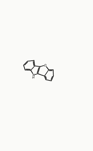 c1ccc2c(c1)[nH]c1c3ccccc3oc21